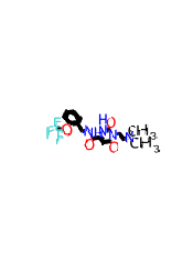 CN(C)CCn1c(=O)cc(C(=O)NCc2ccccc2OC(F)(F)F)[nH]c1=O